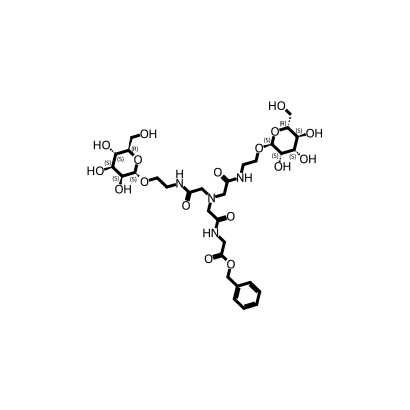 O=C(CN(CC(=O)NCCO[C@H]1O[C@H](CO)[C@@H](O)[C@H](O)[C@@H]1O)CC(=O)NCC(=O)OCc1ccccc1)NCCO[C@H]1O[C@H](CO)[C@@H](O)[C@H](O)[C@@H]1O